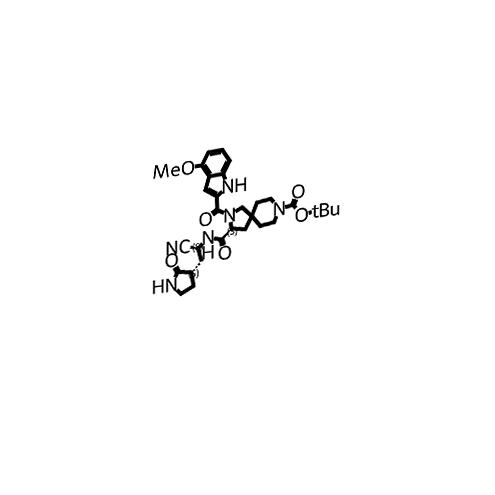 COc1cccc2[nH]c(C(=O)N3CC4(CCN(C(=O)OC(C)(C)C)CC4)C[C@H]3C(=O)N[C@H](C#N)C[C@@H]3CCNC3=O)cc12